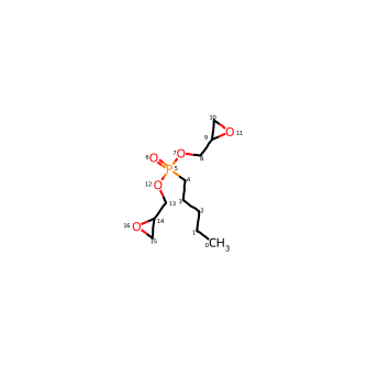 CCCCCP(=O)(OCC1CO1)OCC1CO1